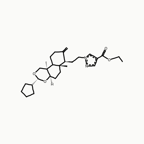 C=C1CCC2[C@]3(C)CO[C@@H](C4CCCC4)O[C@@H]3CC[C@@]2(C)[C@@H]1CCn1cc(C(=O)OCC)cn1